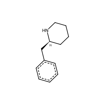 c1ccc(C[C@@H]2CCCCN2)cc1